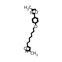 Cc1cc(CCCCCCCOc2ccc(-c3nc(C)co3)cc2)on1